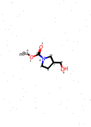 CCCCOC(=O)N1CCC(CO)C1